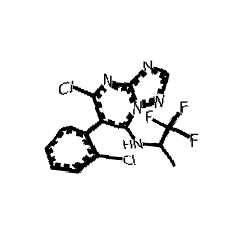 CC(Nc1c(-c2ccccc2Cl)c(Cl)nc2ncnn12)C(F)(F)F